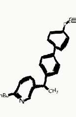 CCCCc1ccc(C(C)c2ccc(-c3ccc(OCC)cc3)cc2)cn1